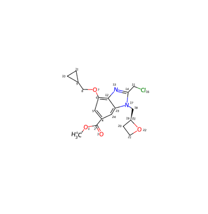 COC(=O)c1cc(OCC2CC2)c2nc(CCl)n(C[C@@H]3CCO3)c2c1